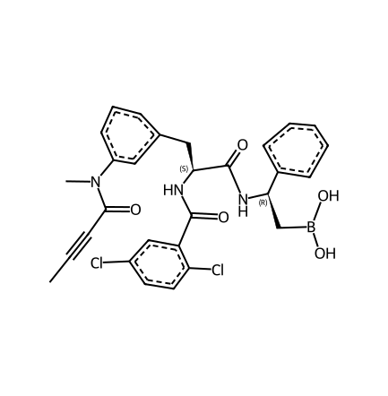 CC#CC(=O)N(C)c1cccc(C[C@H](NC(=O)c2cc(Cl)ccc2Cl)C(=O)N[C@H](CB(O)O)c2ccccc2)c1